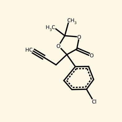 C#CCC1(c2ccc(Cl)cc2)OC(C)(C)OC1=O